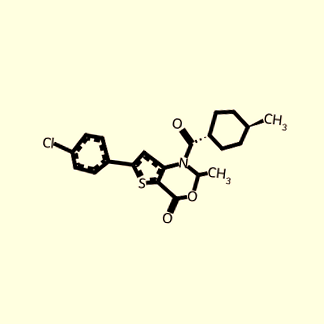 CC1OC(=O)c2sc(-c3ccc(Cl)cc3)cc2N1C(=O)[C@H]1CC[C@H](C)CC1